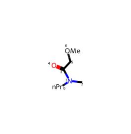 CCCN(C)C(=O)COC